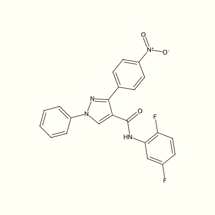 O=C(Nc1cc(F)ccc1F)c1cn(-c2ccccc2)nc1-c1ccc([N+](=O)[O-])cc1